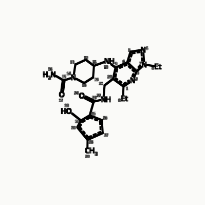 CCc1nc2c(cnn2CC)c(NC2CCN(C(N)=O)CC2)c1CNC(=O)c1ccc(C)cc1O